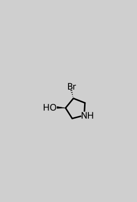 O[C@@H]1CNC[C@H]1Br